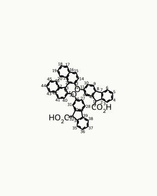 O=C(O)C1c2ccccc2-c2ccc(Oc3ccc4ccccc4c3-c3c(Oc4ccc5c(c4)C(C(=O)O)c4ccccc4-5)ccc4ccccc34)cc21